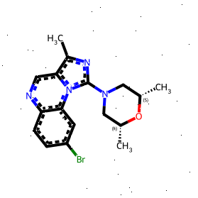 Cc1nc(N2C[C@@H](C)O[C@@H](C)C2)n2c1cnc1ccc(Br)cc12